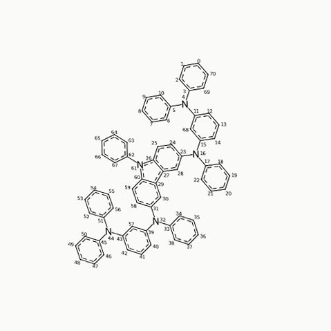 c1ccc(N(c2ccccc2)c2cccc(N(c3ccccc3)c3ccc4c(c3)c3cc(N(c5ccccc5)c5cccc(N(c6ccccc6)c6ccccc6)c5)ccc3n4-c3ccccc3)c2)cc1